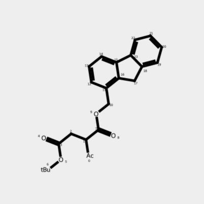 CC(=O)C(CC(=O)OC(C)(C)C)C(=O)OCc1cccc2c1Cc1ccccc1-2